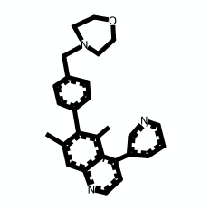 Cc1cc2nccc(-c3cccnc3)c2c(C)c1-c1ccc(CN2CCOCC2)cc1